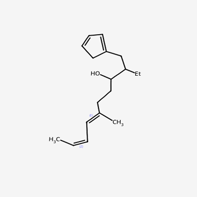 C/C=C\C=C(/C)CCC(O)C(CC)CC1=CC=CC1